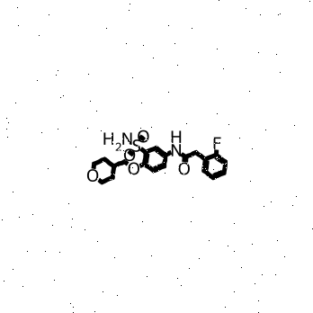 NS(=O)(=O)c1cc(NC(=O)Cc2ccccc2F)ccc1OCC1CCOCC1